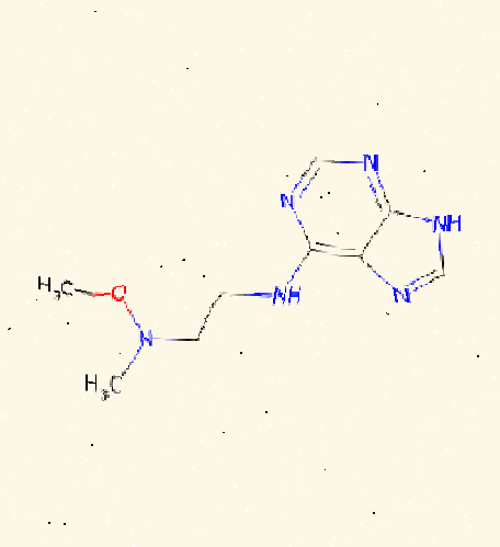 CON(C)CCNc1ncnc2[nH]cnc12